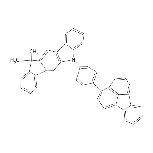 CC1(C)c2ccccc2-c2cc3c(cc21)c1ccccc1n3-c1ccc(-c2ccc3c4c(cccc24)-c2ccccc2-3)cc1